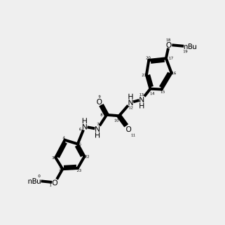 CCCCOc1ccc(NNC(=O)C(=O)NNc2ccc(OCCCC)cc2)cc1